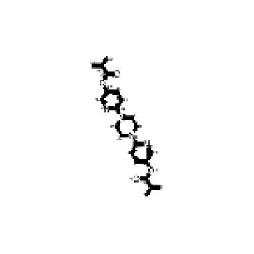 C=C(C)C(=O)Oc1ccc(N2CCN(c3ccc(OC(=O)C(=C)C)cn3)CC2)nc1